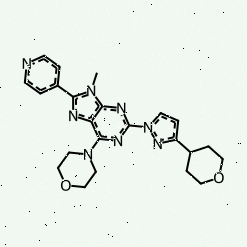 Cn1c(-c2ccncc2)nc2c(N3CCOCC3)nc(-n3ccc(C4CCOCC4)n3)nc21